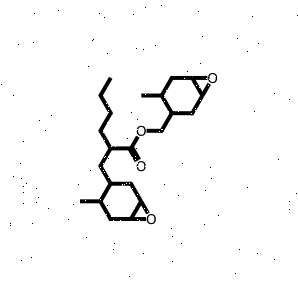 CCCCC(CC1CC2OC2CC1C)C(=O)OCC1CC2OC2CC1C